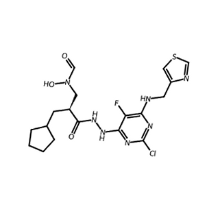 O=CN(O)C[C@H](CC1CCCC1)C(=O)NNc1nc(Cl)nc(NCc2cscn2)c1F